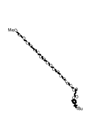 COCCOCCOCCOCCOCCOCCOCCOCCOCCOCCOCCOCCOCCOCCOCCOCCOCCOC(=O)CCC(=O)Oc1ccc(C(C)(C)CC(C)(C)C)cc1